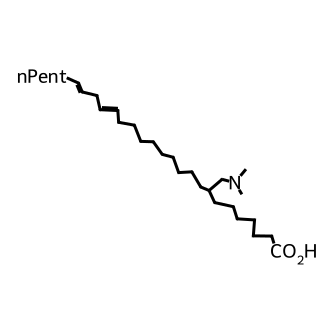 CCCCCC=CCC=CCCCCCCCCCC(CCCCCCC(=O)O)CN(C)C